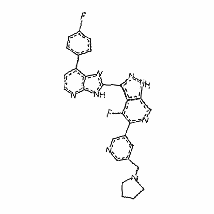 Fc1ccc(-c2ccnc3[nH]c(-c4n[nH]c5cnc(-c6cncc(CN7CCCC7)c6)c(F)c45)nc23)cc1